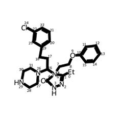 CCC1=NNC(=O)[N+]1(CCOc1ccccc1)C(CCc1cccc(Cl)c1)N1CCNCC1